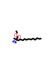 CCCCCCCCCCCCC(C)(C(=O)OCC)N(C)C